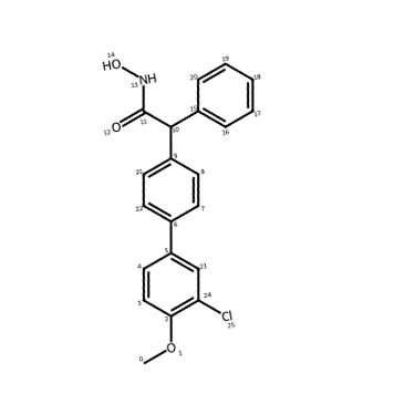 COc1ccc(-c2ccc(C(C(=O)NO)c3ccccc3)cc2)cc1Cl